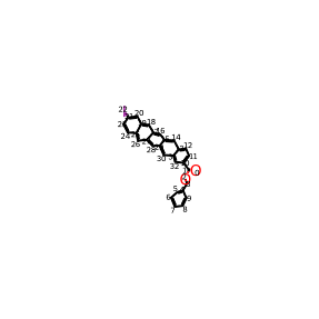 O=C(OCc1ccccc1)c1ccc2cc3cc4cc5cc(I)ccc5cc4cc3cc2c1